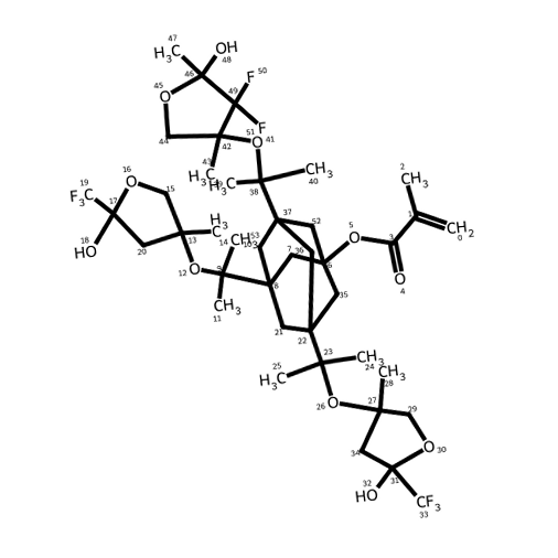 C=C(C)C(=O)OC12CC3(C(C)(C)OC4(C)COC(O)(C(F)(F)F)C4)CC(C(C)(C)OC4(C)COC(O)(C(F)(F)F)C4)(C1)CC(C(C)(C)OC1(C)COC(C)(O)C1(F)F)(C2)C3